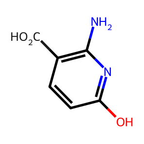 Nc1nc(O)ccc1C(=O)O